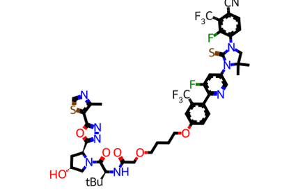 Cc1ncsc1-c1nnc([C@@H]2C[C@@H](O)CN2C(=O)[C@@H](NC(=O)COCCCCOc2ccc(-c3ncc(N4C(=S)N(c5ccc(C#N)c(C(F)(F)F)c5F)CC4(C)C)cc3F)c(C(F)(F)F)c2)C(C)(C)C)o1